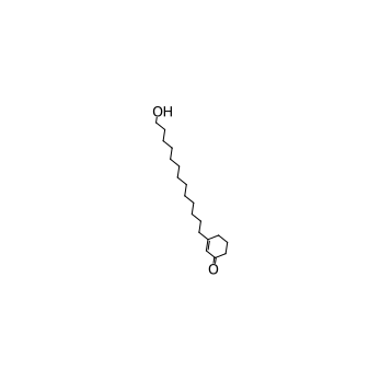 O=C1C=C(CCCCCCCCCCCCCO)CCC1